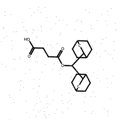 O=C(O)CCC(=O)OC(C1CC2CCC1CC2)C1CC2CCC1CC2